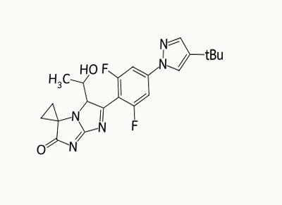 CC(O)C1C(c2c(F)cc(-n3cc(C(C)(C)C)cn3)cc2F)=NC2=NC(=O)C3(CC3)N21